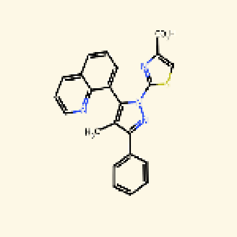 Cc1c(-c2ccccc2)nn(-c2nc(C(=O)O)cs2)c1-c1cccc2cccnc12